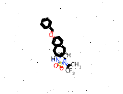 CC(N1C[C@]2(NS1(=O)=O)[C@@H]1CC[C@H]2Cc2ccc(OCc3ccccc3)cc2C1)C(F)(F)F